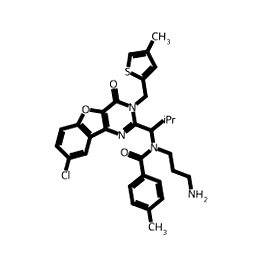 Cc1ccc(C(=O)N(CCCN)C(c2nc3c(oc4ccc(Cl)cc43)c(=O)n2Cc2cc(C)cs2)C(C)C)cc1